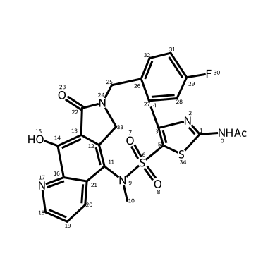 CC(=O)Nc1nc(C)c(S(=O)(=O)N(C)c2c3c(c(O)c4ncccc24)C(=O)N(Cc2ccc(F)cc2)C3)s1